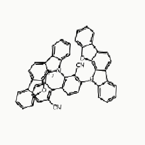 N#Cc1cccc(C(F)(F)F)c1-c1ccc(-n2c3ccccc3c3ccc4c5ccccc5oc4c32)c(C#N)c1-n1c2ccccc2c2ccc3c4ccccc4oc3c21